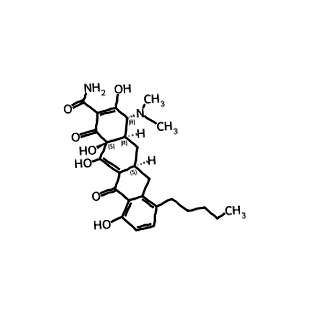 CCCCCc1ccc(O)c2c1C[C@@H]1C[C@@H]3[C@@H](N(C)C)C(O)=C(C(N)=O)C(=O)[C@@]3(O)C(O)=C1C2=O